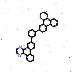 C1=Cc2c(c3cc(-c4cccc(-c5ccc6c7ccccc7c7nccnc7c6c5)c4)ccc3c3ccccc23)CC1